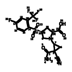 N#CC1(C(N)=O)CC1N1C[C@H](S(=O)(=O)c2ccc(F)cc2C(F)(F)F)C[C@H]1C(=O)O